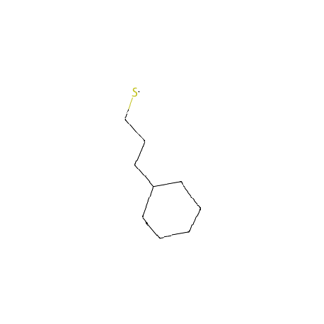 [S]CCCC1CCCCC1